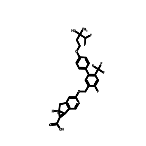 CC(O)(CCOc1ccc(-c2cc(COc3cc4c(cn3)C3=C(C(=O)O)[C@@H]3C4)c(F)cc2C(F)(F)F)cc1)C(F)F